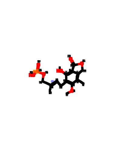 COc1c(C)c2c(c(O)c1C/C=C(\C)CO[PH](=O)O)C(=O)OC2